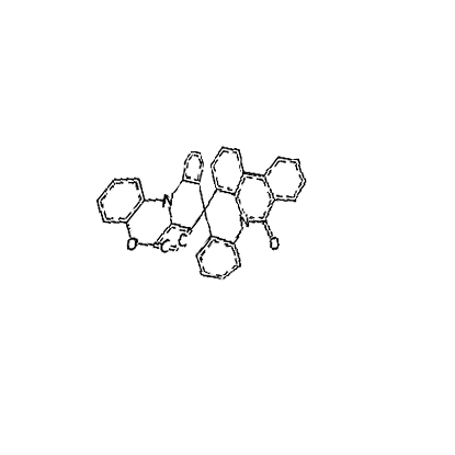 O=c1c2ccccc2c2cccc3c2n1-c1ccccc1C31c2ccccc2N2c3ccccc3Oc3cccc1c32